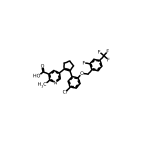 Cc1ncc(C2=C(c3cc(Cl)ccc3OCc3ccc(C(F)(F)F)cc3F)CCC2)cc1C(=O)O